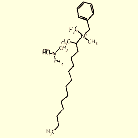 CCCCCCCCCCCCC(C)[N+](C)(C)Cc1ccccc1.CNC.Cl.[Cl-]